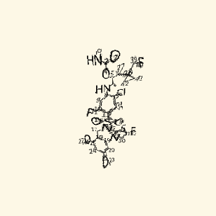 CNC(=O)O[C@H](CNc1cc(F)c(S(=O)(=O)N(Cc2ccc(OC)cc2OC)c2ncc(F)s2)cc1Cl)CC1(CF)CC1